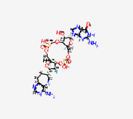 Nc1nc2c(ncn2[C@@H]2O[C@@H]3COP(=O)(O)OC4C(F)[C@H](C5C=Nc6c(N)ncnc6CC5)O[C@@H]4COP(=O)(O)COC3C2O)c(=O)[nH]1